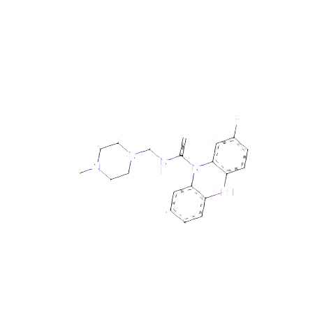 C=C(NCN1CCN(C)CC1)N1c2ccccc2Pc2ccc(F)cc21